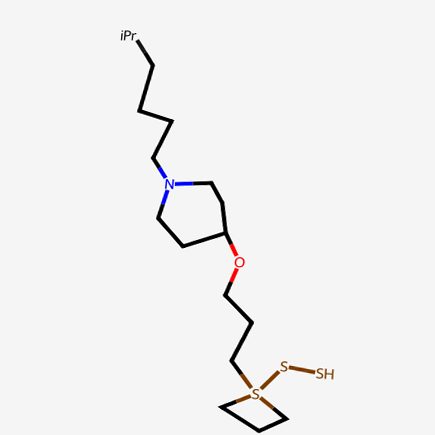 CC(C)CCCCN1CCC(OCCCS2(SS)CCC2)CC1